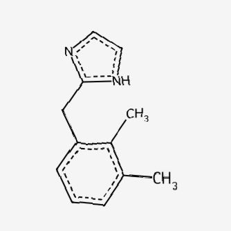 Cc1cccc(Cc2ncc[nH]2)c1C